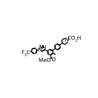 COC(=O)c1cc(-c2cn(-c3ccc(C(F)(F)F)cc3)nn2)cc(-c2ccc(C3CCN(C(=O)O)CC3)cc2)c1C